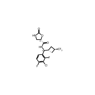 O=C1NC[C@@H](C(=O)N[C@H](c2ccc(F)c(Cl)c2F)[C@H]2C[C@H](C(F)(F)F)C2)O1